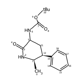 C[C@H]1NC(=O)C(NC(=O)OC(C)(C)C)C[C@H]1c1ccccc1